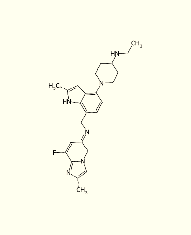 CCNC1CCN(c2ccc(C/N=C3\C=C(F)c4nc(C)cn4C3)c3[nH]c(C)cc23)CC1